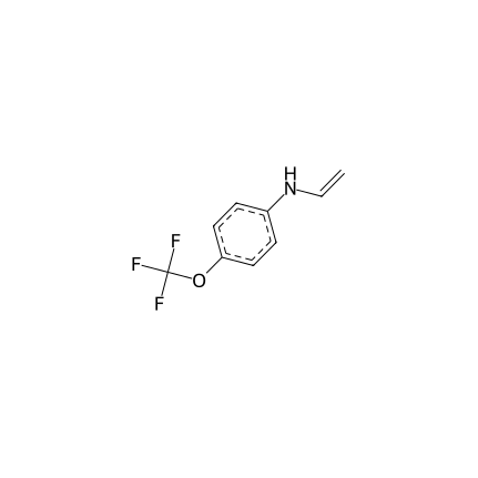 C=CNc1ccc(OC(F)(F)F)cc1